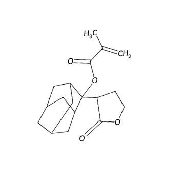 C=C(C)C(=O)OC1(C2CCOC2=O)C2CC3CC(C2)CC1C3